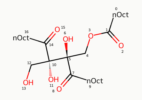 CCCCCCCCC(=O)OC[C@](O)(C(=O)CCCCCCCC)[C@@](O)(CO)C(=O)CCCCCCCC